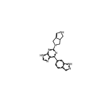 C1=C2CN(c3nc(-c4ccc5cn[nH]c5c4)c4nc[nH]c4n3)CC2CN1